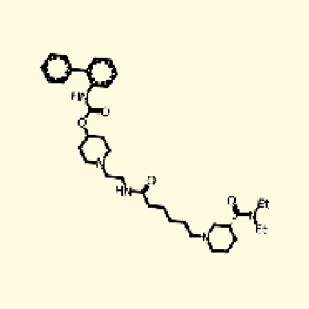 CCN(CC)C(=O)[C@@H]1CCCN(CCCCCC(=O)NCCN2CCC(OC(=O)Nc3ccccc3-c3ccccc3)CC2)C1